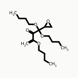 C=C(OCCCC)C(=O)C(OCCCC)(OCCCC)C1CO1